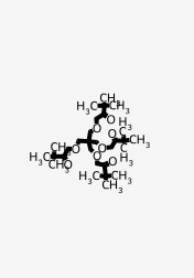 CC(C)(C)C(=O)COCC(COCC(=O)C(C)(C)C)(COCC(=O)C(C)(C)C)COCC(=O)C(C)(C)C